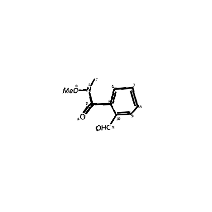 CON(C)C(=O)c1ccccc1C=O